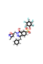 Cc1cc(Cn2nc(Cc3ccccc3)c3ccc(S(=O)(=O)Oc4c(F)c(F)c(F)c(F)c4F)cc3c2=O)on1